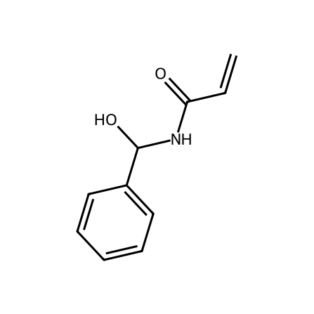 C=CC(=O)NC(O)c1ccccc1